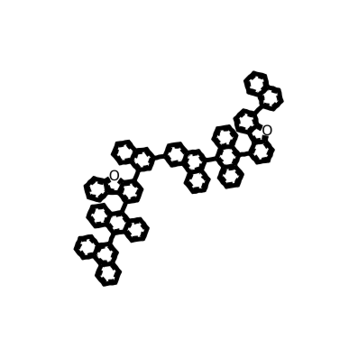 c1ccc2c(-c3cccc4c3oc3cccc(-c5c6ccccc6c(-c6cc7ccc(-c8cc(-c9ccc(-c%10c%11ccccc%11c(-c%11cc%12ccccc%12c%12ccccc%11%12)c%11ccccc%10%11)c%10c9oc9ccccc9%10)c9ccccc9c8)cc7c7ccccc67)c6ccccc56)c34)cccc2c1